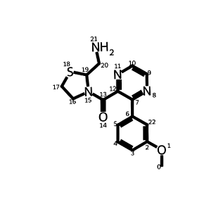 COc1cccc(-c2nccnc2C(=O)N2CCSC2CN)c1